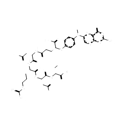 CN(c1ccc(N[C@@H](CCC(=O)N[C@@H](CC(=O)O)C(=O)N[C@@H](CCCNC(=N)N)C(=O)N[C@@H](CC(=O)O)C(=O)N[C@H](CS)C(=O)O)C(=O)O)cc1)c1cnc2nc(N)[nH]c(=O)c2n1